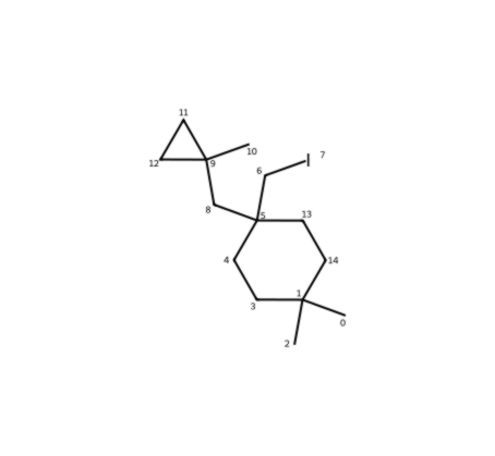 CC1(C)CCC(CI)(CC2(C)CC2)CC1